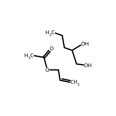 C=CCOC(C)=O.CCCC(O)CO